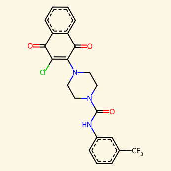 O=C1C(Cl)=C(N2CCN(C(=O)Nc3cccc(C(F)(F)F)c3)CC2)C(=O)c2ccccc21